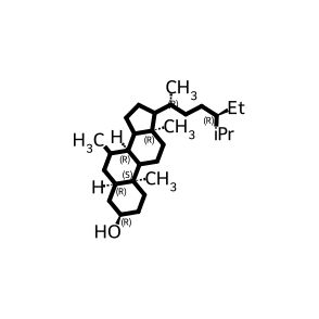 CC[C@H](CC[C@@H](C)C1CCC2[C@@H]3C(C)C[C@@H]4C[C@H](O)CC[C@]4(C)C3CC[C@@]21C)C(C)C